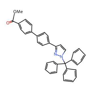 COC(=O)c1ccc(-c2ccc(-c3ccn(C(c4ccccc4)(c4ccccc4)c4ccccc4)n3)cc2)cc1